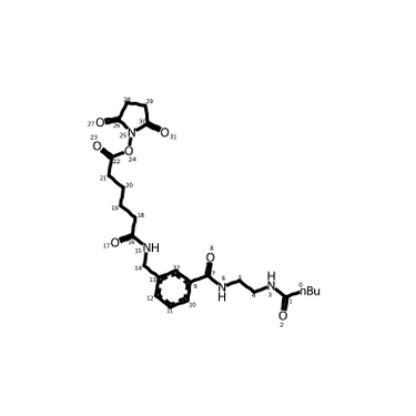 CCCCC(=O)NCCNC(=O)c1cccc(CNC(=O)CCCCC(=O)ON2C(=O)CCC2=O)c1